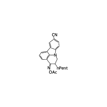 CCCCCC1Cn2c3ccc(C#N)cc3c3cccc(c32)/C1=N/OC(C)=O